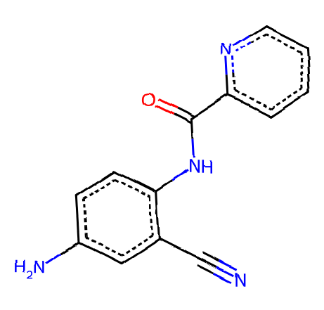 N#Cc1cc(N)ccc1NC(=O)c1ccccn1